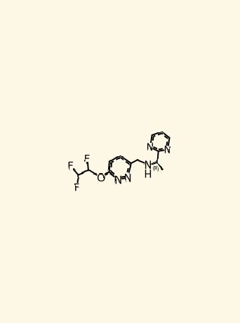 C[C@@H](NCc1ccc(OC(F)C(F)F)nn1)c1ncccn1